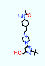 CC(=O)NC1CCC(CCN2CCN(c3cc(CO)nc(C(C)(C)C)n3)CC2)CC1